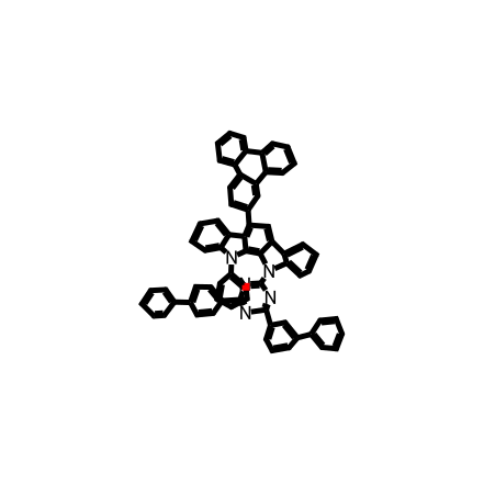 c1ccc(-c2ccc(-c3nc(-c4cccc(-c5ccccc5)c4)nc(-n4c5ccccc5c5cc(-c6ccc7c8ccccc8c8ccccc8c7c6)c6c7ccccc7n(-c7ccccc7)c6c54)n3)cc2)cc1